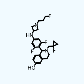 Oc1ccc2c(c1)CCN(CC1(F)CC1)C2c1c(F)cc(NC2CN(CCCF)C2)cc1F